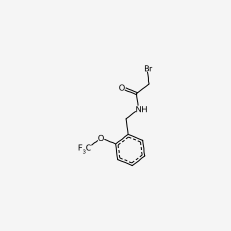 O=C(CBr)NCc1ccccc1OC(F)(F)F